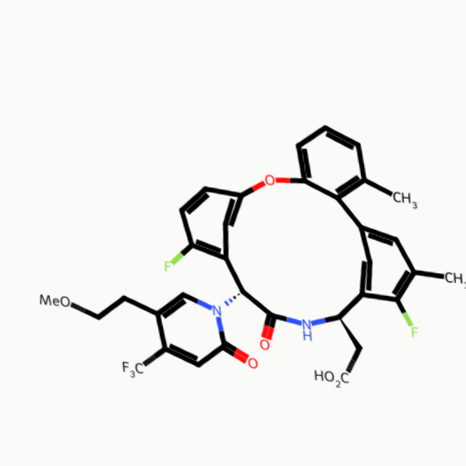 COCCc1cn([C@H]2C(=O)N[C@H](CC(=O)O)c3cc(cc(C)c3F)-c3c(C)cccc3Oc3ccc(F)c2c3)c(=O)cc1C(F)(F)F